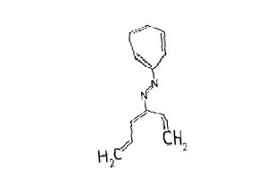 C=C/C=C(C=C)/N=N/c1ccccc1